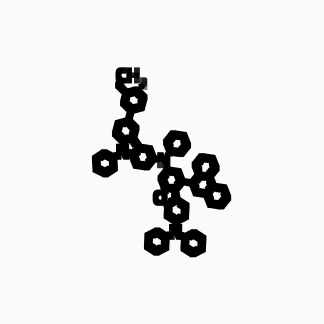 C=Cc1cccc(-c2ccc3c(c2)c2cc(N(c4ccccc4)c4cc(-c5cc6ccccc6c6ccccc56)c5c(c4)oc4cc(N(c6ccccc6)c6ccccc6)ccc45)ccc2n3-c2ccccc2)c1